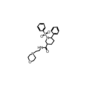 O=C(NCCN1CCOCC1)C1CCC(c2ccccc2)N(S(=O)(=O)c2ccccc2)C1